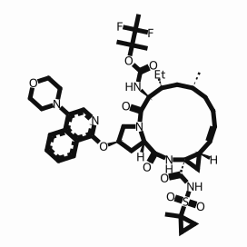 CC[C@@H]1C[C@H](C)CC/C=C\[C@@H]2C[C@@]2(C(=O)NS(=O)(=O)C2(C)CC2)NC(=O)[C@@H]2C[C@@H](Oc3ncc(N4CCOCC4)c4ccccc34)CN2C(=O)[C@H]1NC(=O)OC(C)(C)C(C)(F)F